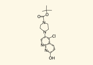 CC(C)(C)OC(=O)N1CCN(c2cnc3nc(O)ccc3c2Cl)CC1